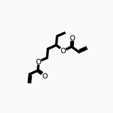 C=CC(=O)OCCC(CC)OC(=O)C=C